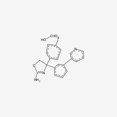 NC1=NC(c2ccc(F)cc2)(c2cccc(-c3cccnc3)c2)CO1.O=CO